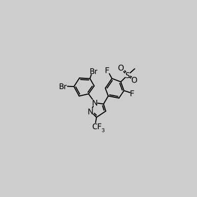 CS(=O)(=O)c1c(F)cc(-c2cc(C(F)(F)F)nn2-c2cc(Br)cc(Br)c2)cc1F